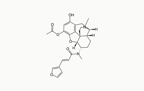 CC(=O)Oc1cc(O)c2c3c1O[C@H]1[C@@H](N(C)C(=O)/C=C/c4ccoc4)CC[C@H]4[C@@H](C2)N(C)CC[C@@]341